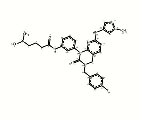 CN(C)CCCC(=O)Nc1cccc(N2C(=O)N(Cc3ccc(F)cc3)Cc3cnc(Nc4cnn(C)c4)nc32)c1